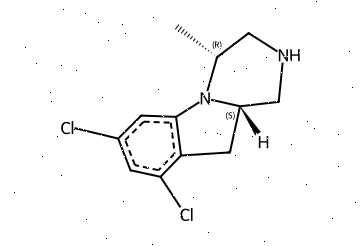 C[C@@H]1CNC[C@@H]2Cc3c(Cl)cc(Cl)cc3N21